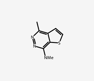 CNc1nnc(C)c2ccsc12